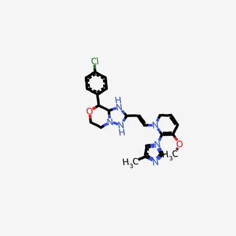 COC1=C(n2cnc(C)c2)N(C=CC2NC3C(c4ccc(Cl)cc4)OCCN3N2)CC=C1